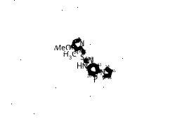 COc1ccnc(CSc2nc3cc(-n4cccc4)c(F)cc3[nH]2)c1C